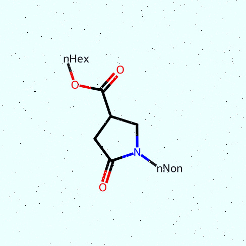 CCCCCCCCCN1CC(C(=O)OCCCCCC)CC1=O